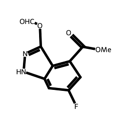 COC(=O)c1cc(F)cc2[nH]nc(OC=O)c12